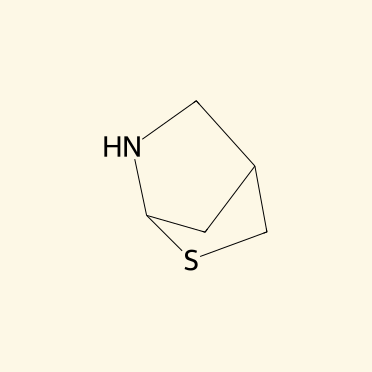 C1NC2CC1CS2